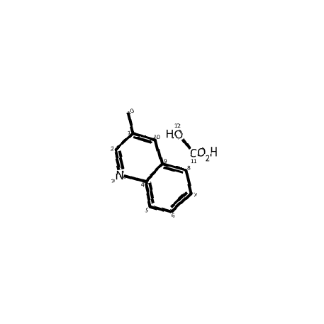 Cc1cnc2ccccc2c1.O=C(O)O